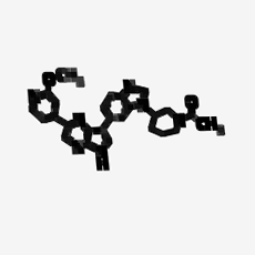 COc1cc(-c2cnc3[nH]cc(-c4ccc5ncn(C6CCCN(C(C)=O)C6)c5c4)c3n2)ccn1